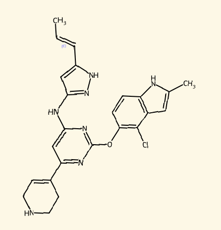 C/C=C/c1cc(Nc2cc(C3=CCNCC3)nc(Oc3ccc4[nH]c(C)cc4c3Cl)n2)n[nH]1